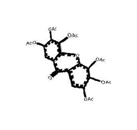 CC(=O)Oc1cc2c(=O)c3cc(OC(C)=O)c(OC(C)=O)c(OC(C)=O)c3oc2c(OC(C)=O)c1OC(C)=O